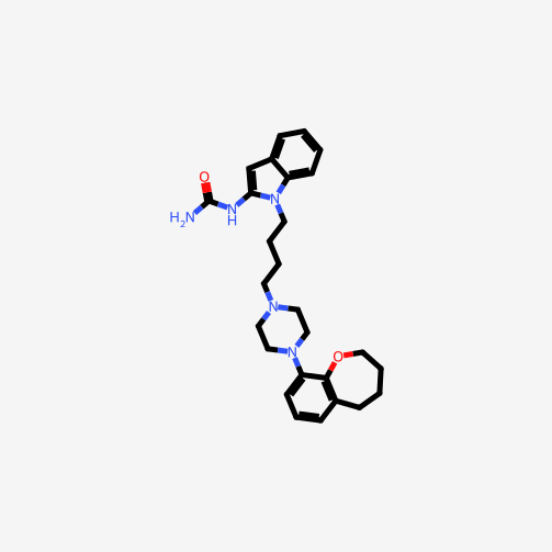 NC(=O)Nc1cc2ccccc2n1CCCCN1CCN(c2cccc3c2OCCCC3)CC1